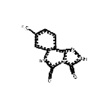 O=c1[nH]nc2c3ccc(C(F)(F)F)cc3[nH]c(=O)n12